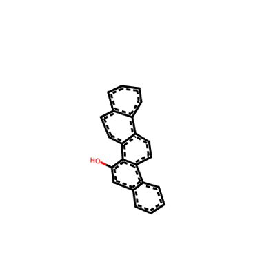 Oc1cc2ccccc2c2ccc3c4ccccc4ccc3c12